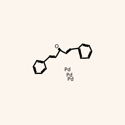 O=C(C=Cc1ccccc1)C=Cc1ccccc1.[Pd].[Pd].[Pd]